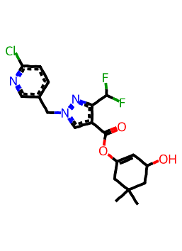 CC1(C)CC(OC(=O)c2cn(Cc3ccc(Cl)nc3)nc2C(F)F)=CC(O)C1